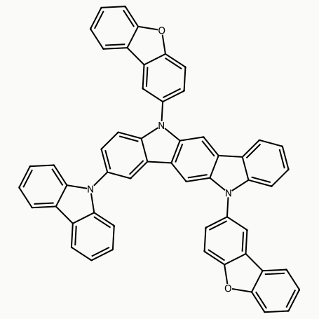 c1ccc2c(c1)oc1ccc(-n3c4ccccc4c4cc5c(cc43)c3cc(-n4c6ccccc6c6ccccc64)ccc3n5-c3ccc4oc5ccccc5c4c3)cc12